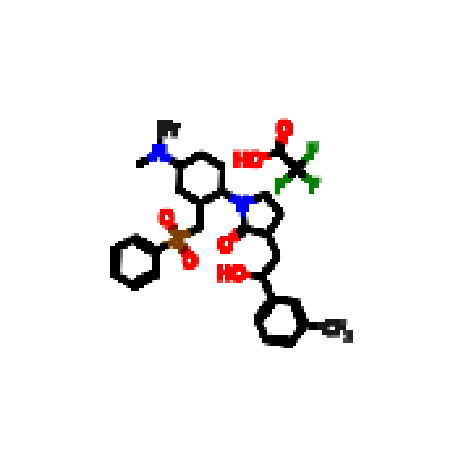 CC(C)N(C)C1CCC(N2CCC(CC(O)c3cccc(C(F)(F)F)c3)C2=O)C(CS(=O)(=O)c2ccccc2)C1.O=C(O)C(F)(F)F